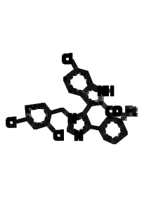 CCOC(=O)c1[nH]c2cc(Cl)ccc2c1-c1c(-c2ccccc2)ncn1Cc1ccc(Cl)cc1Cl